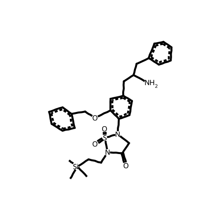 C[Si](C)(C)CCN1C(=O)CN(c2ccc(CC(N)Cc3ccccc3)cc2OCc2ccccc2)S1(=O)=O